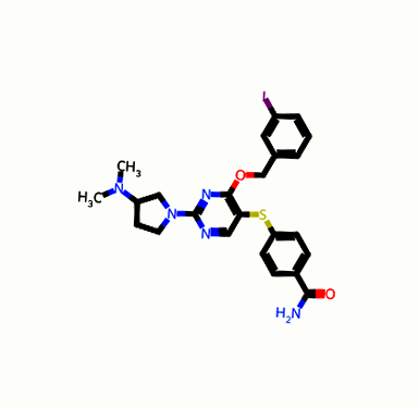 CN(C)C1CCN(c2ncc(Sc3ccc(C(N)=O)cc3)c(OCc3cccc(I)c3)n2)C1